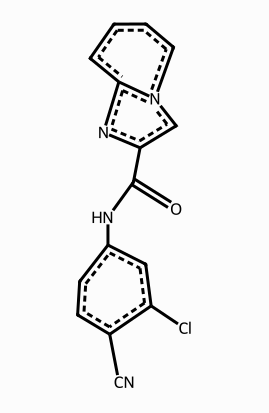 N#Cc1ccc(NC(=O)c2cn3ccccc3n2)cc1Cl